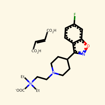 CC[N+](CC)(CCN1CCC(c2noc3cc(F)ccc23)CC1)C(=O)[O-].O=C(O)/C=C/C(=O)O